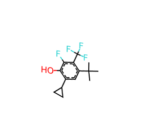 CC(C)(C)c1cc(C2CC2)c(O)c(F)c1C(F)(F)F